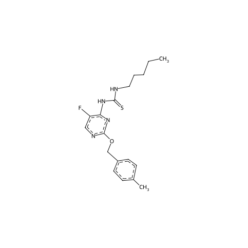 CCCCCNC(=S)Nc1nc(OCc2ccc(C)cc2)ncc1F